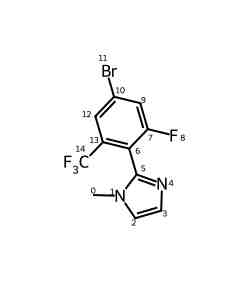 Cn1ccnc1-c1c(F)cc(Br)cc1C(F)(F)F